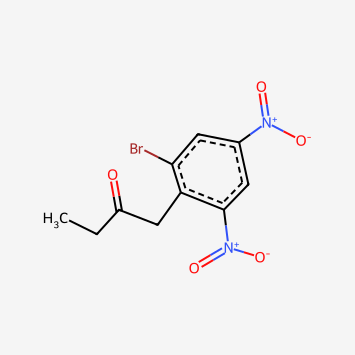 CCC(=O)Cc1c(Br)cc([N+](=O)[O-])cc1[N+](=O)[O-]